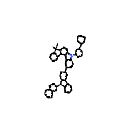 CC1(C)c2ccccc2-c2c1ccc1c2c2cc(-c3ccc4c(c3)-c3ccccc3C4c3ccc4ccccc4c3)ccc2n1-c1cccc(-c2ccccc2)c1